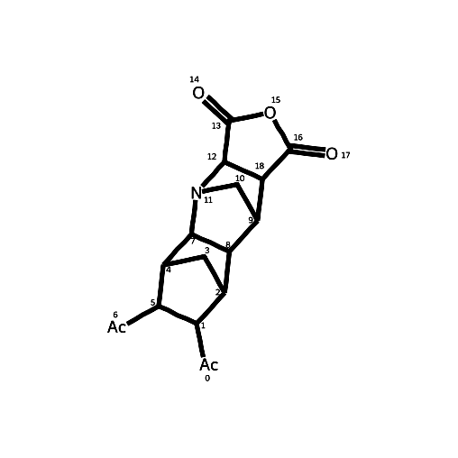 CC(=O)C1C2CC(C1C(C)=O)C1C2C2CN1C1C(=O)OC(=O)C21